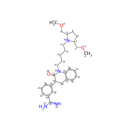 COCC1CCC(COC)N1CCCCCN1C(=O)C(c2cccc(C(=N)N)c2)Cc2ccccc21